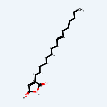 CCCCCCC=CCCCCCCCCC1=CC(=O)OC1=O